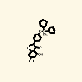 CC(C)(C)[Si](Oc1ccc(-c2coc3cc(O)cc(O)c3c2=O)cc1)(c1ccccc1)c1ccccc1